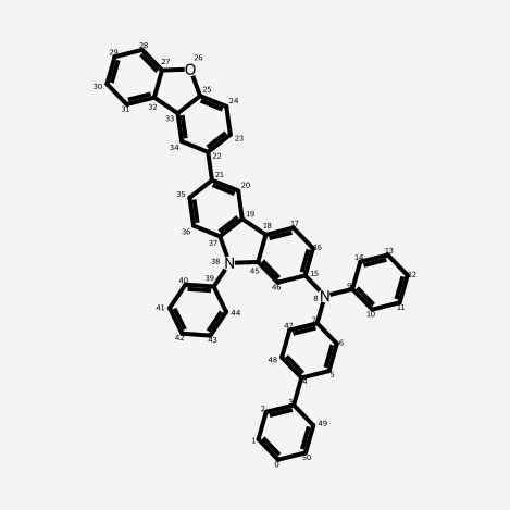 c1ccc(-c2ccc(N(c3ccccc3)c3ccc4c5cc(-c6ccc7oc8ccccc8c7c6)ccc5n(-c5ccccc5)c4c3)cc2)cc1